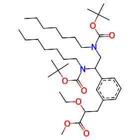 CCCCCCCN(CC(c1cccc(CC(OCC)C(=O)OC)c1)N(CCCCCCC)C(=O)OC(C)(C)C)C(=O)OC(C)(C)C